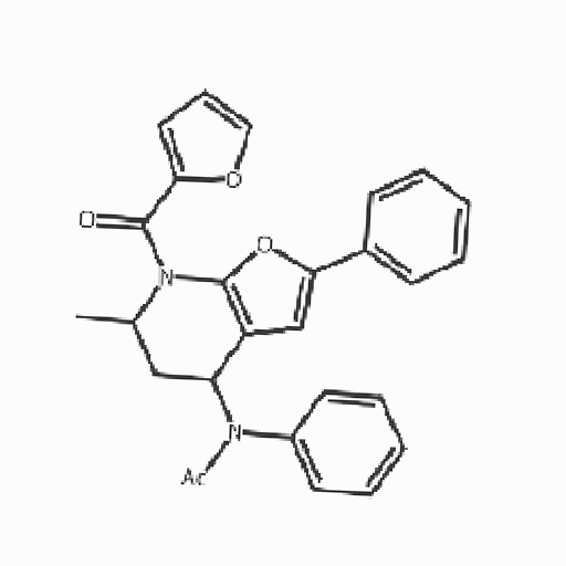 CC(=O)N(c1ccccc1)C1CC(C)N(C(=O)c2ccco2)c2oc(-c3ccccc3)cc21